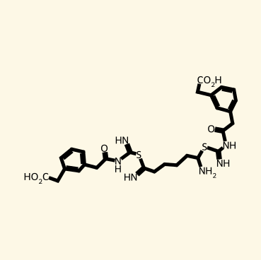 N=C(CCCCC(N)SC(=N)NC(=O)Cc1cccc(CC(=O)O)c1)SC(=N)NC(=O)Cc1cccc(CC(=O)O)c1